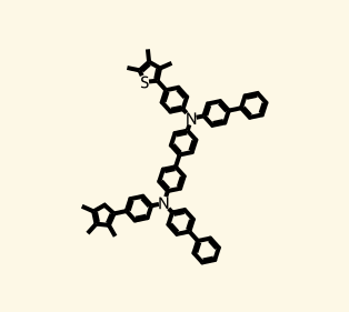 CC1=C(C)C(C)=C(c2ccc(N(c3ccc(-c4ccccc4)cc3)c3ccc(-c4ccc(N(c5ccc(-c6ccccc6)cc5)c5ccc(-c6sc(C)c(C)c6C)cc5)cc4)cc3)cc2)C1